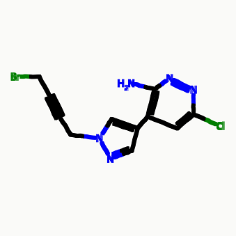 Nc1nnc(Cl)cc1-c1cnn(CC#CCBr)c1